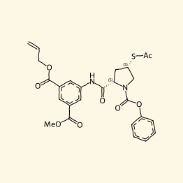 C=CCOC(=O)c1cc(NC(=O)[C@@H]2C[C@H](SC(C)=O)CN2C(=O)Oc2ccccc2)cc(C(=O)OC)c1